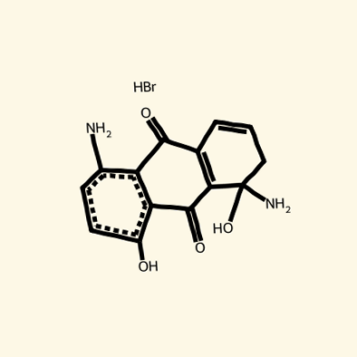 Br.Nc1ccc(O)c2c1C(=O)C1=C(C2=O)C(N)(O)CC=C1